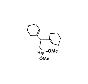 CO[SiH](CC(C1=CCCCC1)C1=CCCCC1)OC